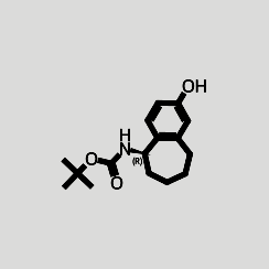 CC(C)(C)OC(=O)N[C@@H]1CCCCc2cc(O)ccc21